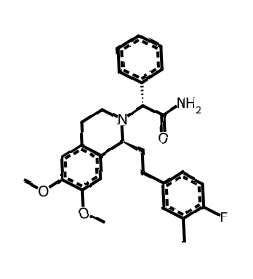 COc1cc2c(cc1OC)[C@H](CCc1ccc(F)c(C)c1)N([C@@H](C(N)=O)c1ccccc1)CC2